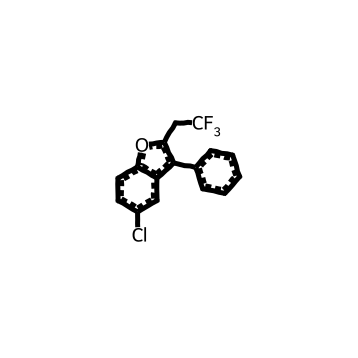 FC(F)(F)Cc1oc2ccc(Cl)cc2c1-c1ccccc1